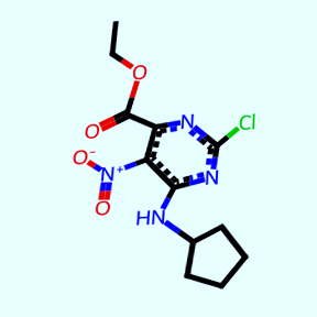 CCOC(=O)c1nc(Cl)nc(NC2CCCC2)c1[N+](=O)[O-]